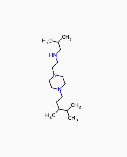 CC(C)CNCCN1CCN(CCC(C)C(C)C)CC1